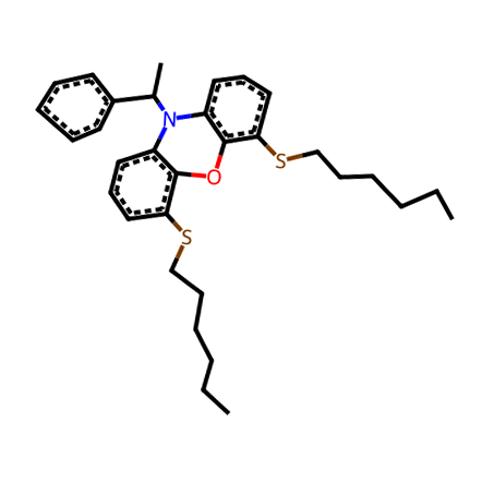 CCCCCCSc1cccc2c1Oc1c(SCCCCCC)cccc1N2C(C)c1ccccc1